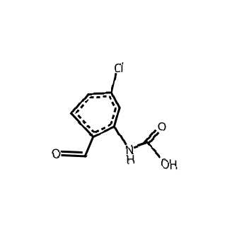 O=Cc1ccc(Cl)cc1NC(=O)O